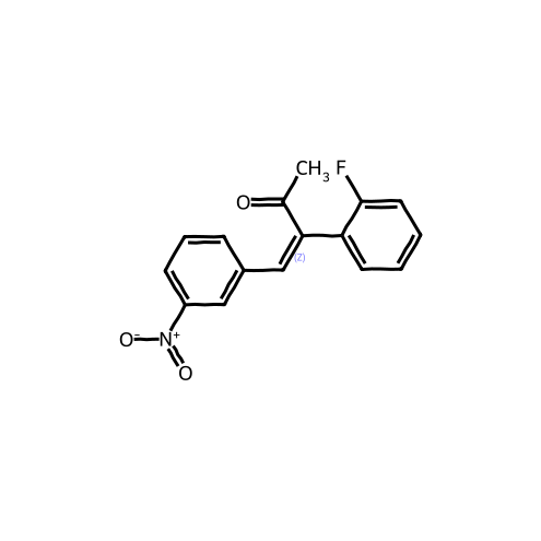 CC(=O)/C(=C\c1cccc([N+](=O)[O-])c1)c1ccccc1F